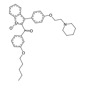 CCCCCOc1cccc(C(=O)c2c(-c3ccc(OCCN4CCCCC4)cc3)c3ccccc3[s+]2[O-])c1